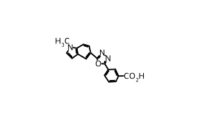 Cn1ccc2cc(-c3nnc(-c4cccc(C(=O)O)c4)o3)ccc21